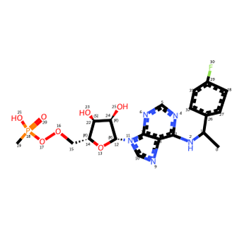 CC(Nc1ncnc2c1ncn2[C@@H]1O[C@H](COOP(C)(=O)O)[C@@H](O)[C@H]1O)c1ccc(F)cc1